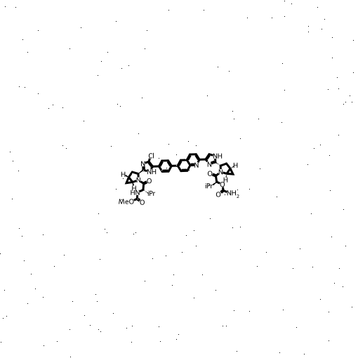 COC(=O)N[C@H](C(=O)N1[C@@H]2C[C@@H]2C[C@H]1c1nc(Cl)c(-c2ccc(-c3ccc4nc(-c5c[nH]c([C@@H]6C[C@H]7C[C@H]7N6C(=O)[C@@H](OC(N)=O)C(C)C)n5)ccc4c3)cc2)[nH]1)C(C)C